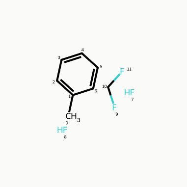 Cc1ccccc1.F.F.FCF